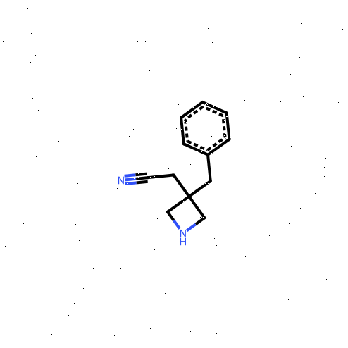 N#CCC1(Cc2ccccc2)CNC1